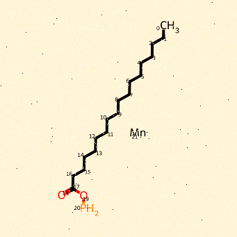 CCCCCCCCCCCCCCCCCC(=O)OP.[Mn]